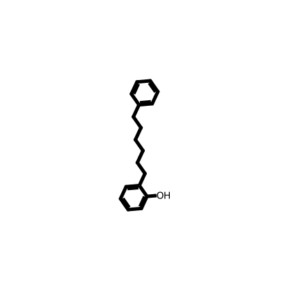 Oc1ccccc1CCCCCCc1ccccc1